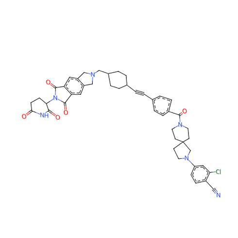 N#Cc1ccc(N2CCC3(CCN(C(=O)c4ccc(C#CC5CCC(CN6Cc7cc8c(cc7C6)C(=O)N(C6CCC(=O)NC6=O)C8=O)CC5)cc4)CC3)C2)cc1Cl